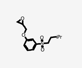 CC(C)CCS(=O)(=O)c1cccc(OCC2CO2)c1